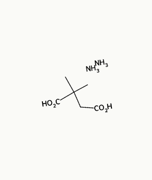 CC(C)(CC(=O)O)C(=O)O.N.N